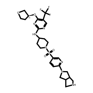 O=S(=O)(c1ccc(N2CC3CNCC3C2)nc1)N1CCC(Nc2ncc(C(F)(F)F)c(O[C@H]3CCOC3)n2)CC1